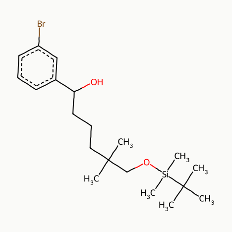 CC(C)(CCCC(O)c1cccc(Br)c1)CO[Si](C)(C)C(C)(C)C